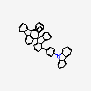 c1ccc(C23c4ccccc4-c4cccc(c42)C2(c4ccccc4-c4c(-c5ccc(-n6c7ccccc7c7ccccc76)cc5)cccc42)c2ccccc23)cc1